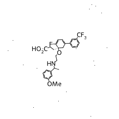 COc1cccc(C(C)NCCO[C@]2(CCC(=O)O)CC(c3cccc(C(F)(F)F)c3)=CC=C2F)c1